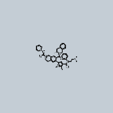 Cc1c(C(=O)N(CCN(C)C)c2ccccc2)cc(-c2cc3c(cc2C(=O)N2Cc4ccccc4C[C@H]2C)CN(C(=O)Oc2ccccc2)CC3)n1C